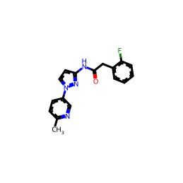 Cc1ccc(-n2ccc(NC(=O)Cc3ccccc3F)n2)cn1